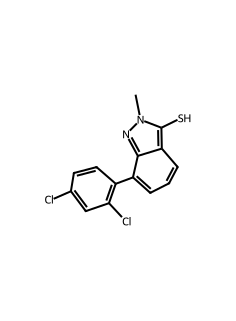 Cn1nc2c(-c3ccc(Cl)cc3Cl)cccc2c1S